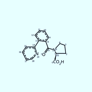 O=C(O)[C@@H]1CCCN1C(=O)c1ccccc1-c1ccccn1